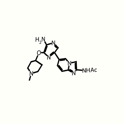 CC(=O)Nc1cn2cc(-c3cnc(N)c(OC4CCN(C)CC4)n3)ccc2n1